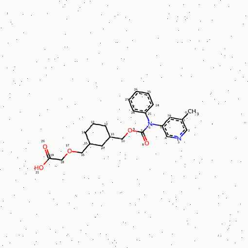 Cc1cncc(N(C(=O)OCC2CCCC(COCC(=O)O)C2)c2ccccc2)c1